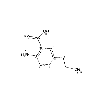 CCCc1ccc(N)c(C(=O)O)c1